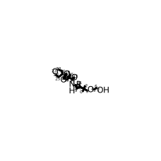 CC(C)(COCCO)C1=CC(NC(=O)C(C)(C)S(=O)(=O)C2CCOCC2)=P1